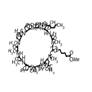 C/C=C/C[C@@H](C)[C@@H](O)[C@H]1C(=O)N[C@@H](CC)C(=O)N(C)[C@H](CSCCCCC(=O)OC)C(=O)CN(C)[C@@H](CC(C)(C)O)C(=O)N[C@@H](C(C)C)C(=O)N(C)[C@@H](CC(C)C)C(=O)N[C@@H](C)C(=O)N[C@H](C)C(=O)N(C)[C@@H](CC(C)C)C(=O)N(C)[C@@H](CC(C)C)C(=O)N(C)[C@@H](C(C)C)C(=O)N1C